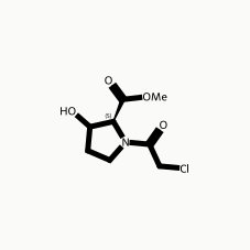 COC(=O)[C@@H]1C(O)CCN1C(=O)CCl